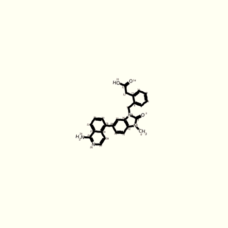 Cn1c(=O)n(Cc2ccccc2CC(=O)O)c2cc(-c3cccc4c(N)nccc34)ccc21